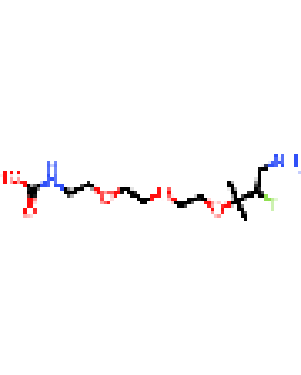 CC(C)(OCCOCCOCCNC(=O)O)C(F)CN